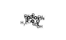 COc1cc2c(cc1OC(C)C)[C@H](c1ccc(Cl)cc1)N(c1ccc([C@](C)(O)C3CCN(C(=O)CO)CC3)cc1)C(=O)C2